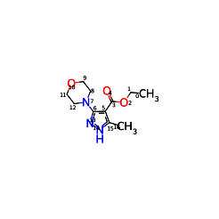 CCOC(=O)c1c(N2CCOCC2)n[nH]c1C